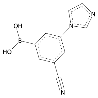 N#Cc1cc(B(O)O)cc(-n2ccnc2)c1